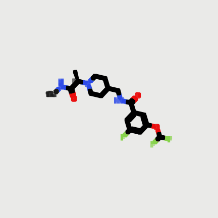 C[C@H](C(=O)NC(C)(C)C)N1CCC(CNC(=O)c2cc(F)cc(OC(F)F)c2)CC1